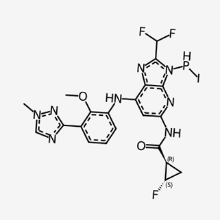 COc1c(Nc2cc(NC(=O)[C@H]3C[C@@H]3F)nc3c2nc(C(F)F)n3PI)cccc1-c1ncn(C)n1